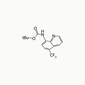 CC(C)(C)OC(=O)Nc1ccc(C(F)(F)F)c2cccnc12